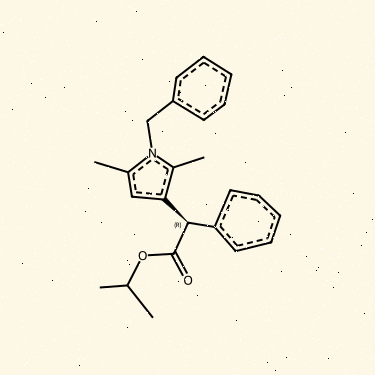 Cc1cc([C@H](C(=O)OC(C)C)c2ccccc2)c(C)n1Cc1ccccc1